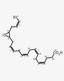 CC/C=C\CC1OC1C/C=C\C/C=C\C/C=C\C/C=C\CCC(=O)O